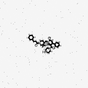 CC1(C)CN(C(=O)CCC2CCCCC2)CCC1(O)Cn1cc(C(=O)N2CCNCC2)c(-c2ccccc2)cc1=O